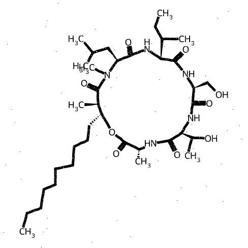 CCCCCCCCCC[C@H]1OC(=O)[C@@H](C)NC(=O)[C@H](C(C)O)NC(=O)[C@H](CO)NC(=O)[C@H](C(C)CC)NC(=O)[C@H](CC(C)C)N(C)C(=O)[C@@H]1C